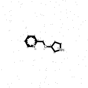 c1ccc(COC2CCNC2)nc1